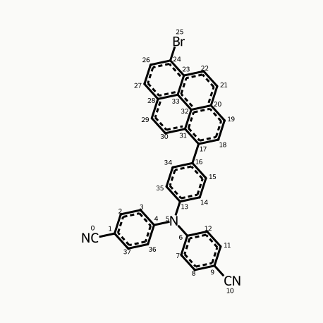 N#Cc1ccc(N(c2ccc(C#N)cc2)c2ccc(-c3ccc4ccc5c(Br)ccc6ccc3c4c65)cc2)cc1